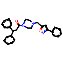 O=C(CC(c1ccccc1)c1ccccc1)N1CCN(Cc2cc(-c3ccccc3)no2)CC1